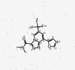 CN(C)C(=O)c1nnc2c(-c3cnco3)cc(C(F)(F)F)cn12